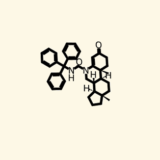 C[C@@]12CCC[C@H]1[C@@H]1CN(C(=O)NC(c3ccccc3)(c3ccccc3)c3ccccc3)C3=CC(=O)CC[C@]3(C)[C@H]1CC2